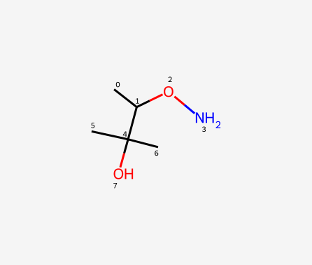 CC(ON)C(C)(C)O